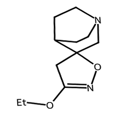 CCOC1=NOC2(C1)CN1CCC2CC1